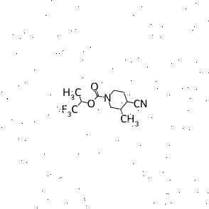 CC1CN(C(=O)OC(C)C(F)(F)F)CCC1C#N